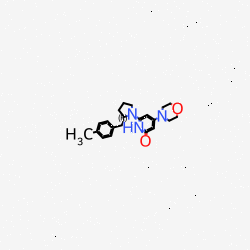 Cc1ccc(C[C@H]2CCCN2c2cc(N3CCOCC3)cc(=O)[nH]2)cc1